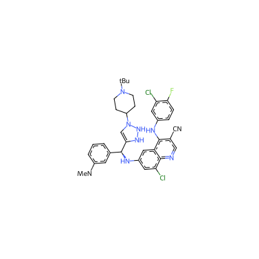 CNc1cccc([C@H](Nc2cc(Cl)c3ncc(C#N)c(Nc4ccc(F)c(Cl)c4)c3c2)C2=CN(C3CCN(C(C)(C)C)CC3)NN2)c1